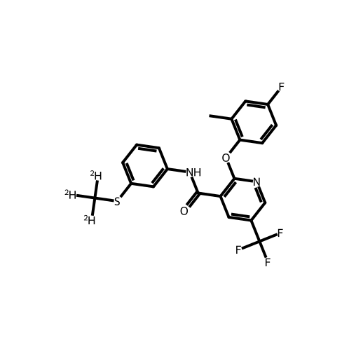 [2H]C([2H])([2H])Sc1cccc(NC(=O)c2cc(C(F)(F)F)cnc2Oc2ccc(F)cc2C)c1